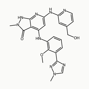 COc1c(Nc2cc(Nc3cc(CO)ccn3)nc3[nH]n(C)c(=O)c23)cccc1-c1ncn(C)n1